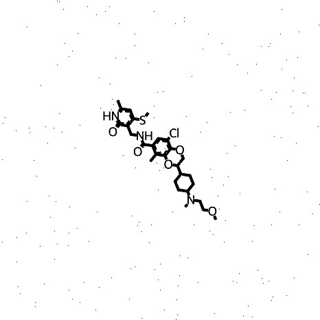 COCCN(C)C1CCC(C2COc3c(Cl)cc(C(=O)NCc4c(SC)cc(C)[nH]c4=O)c(C)c3O2)CC1